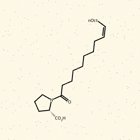 CCCCCCCC/C=C\CCCCCCCC(=O)N1CCC[C@H]1C(=O)O